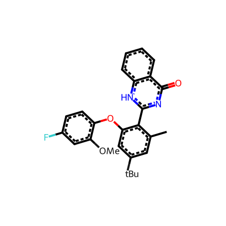 COc1cc(F)ccc1Oc1cc(C(C)(C)C)cc(C)c1-c1nc(=O)c2ccccc2[nH]1